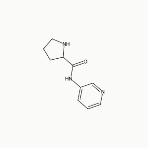 O=C(Nc1cccnc1)C1CCCN1